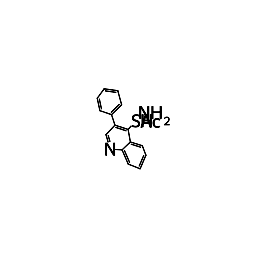 CC(N)=O.Sc1c(-c2ccccc2)cnc2ccccc12